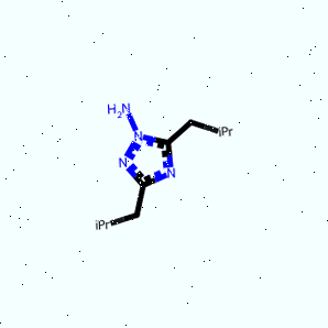 CC(C)Cc1nc(CC(C)C)n(N)n1